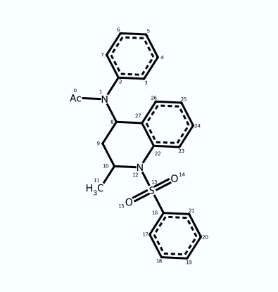 CC(=O)N(c1ccccc1)C1CC(C)N(S(=O)(=O)c2ccccc2)c2ccccc21